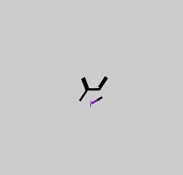 C=CC(=C)C.CI